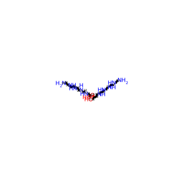 NCCNCCNCCNCCNCCC(CO)OC(O)CNCCNCCNCCNCCN